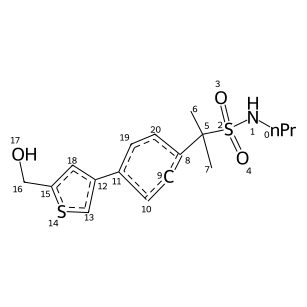 CCCNS(=O)(=O)C(C)(C)c1ccc(-c2csc(CO)c2)cc1